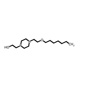 CCCCCCCOCCN1CCN(CCO)CC1